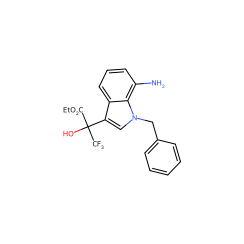 CCOC(=O)C(O)(c1cn(Cc2ccccc2)c2c(N)cccc12)C(F)(F)F